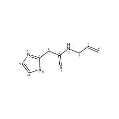 C=CCNC(=S)Cc1nccs1